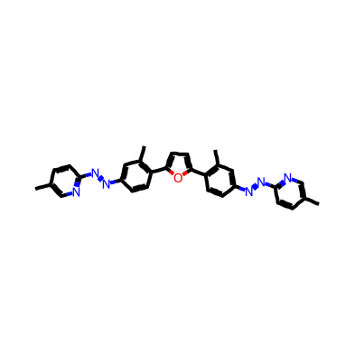 Cc1ccc(/N=N/c2ccc(-c3ccc(-c4ccc(/N=N/c5ccc(C)cn5)cc4C)o3)c(C)c2)nc1